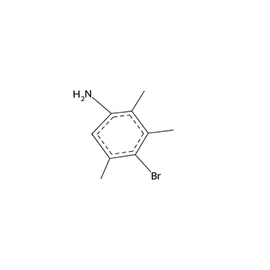 Cc1cc(N)c(C)c(C)c1Br